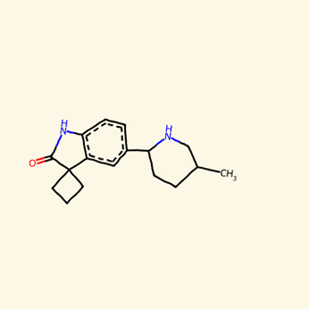 CC1CCC(c2ccc3c(c2)C2(CCC2)C(=O)N3)NC1